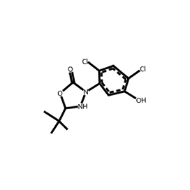 CC(C)(C)C1NN(c2cc(O)c(Cl)cc2Cl)C(=O)O1